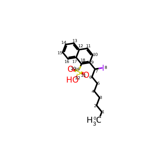 CCCCCCCC(I)c1ccc2ccccc2c1S(=O)(=O)O